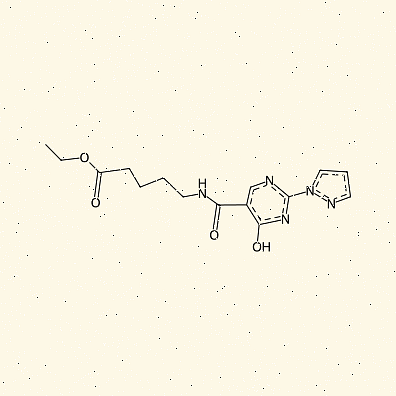 CCOC(=O)CCCCNC(=O)c1cnc(-n2cccn2)nc1O